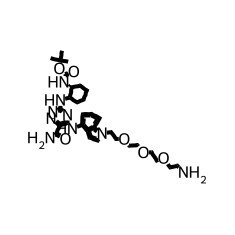 CC(C)(C)OC(=O)N[C@H]1CCCCC1Nc1nnc(C(N)=O)c(Nc2cccc3c2ccn3CCOCCOCCOCCN)n1